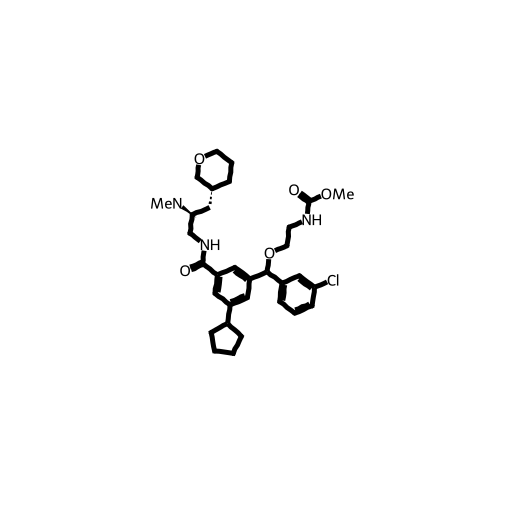 CN[C@H](CNC(=O)c1cc(C2CCCC2)cc(C(OCCNC(=O)OC)c2cccc(Cl)c2)c1)C[C@H]1CCCOC1